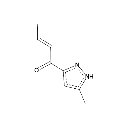 CC=CC(=O)c1cc(C)[nH]n1